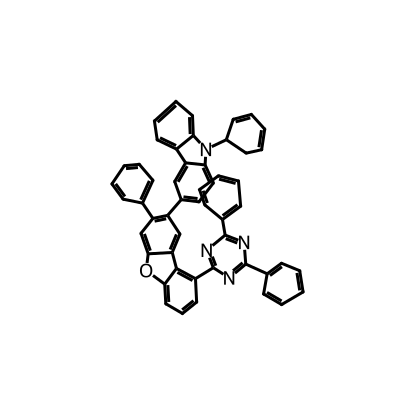 C1=CCC(n2c3ccccc3c3cc(-c4cc5c(cc4-c4ccccc4)oc4cccc(-c6nc(-c7ccccc7)nc(-c7ccccc7)n6)c45)ccc32)C=C1